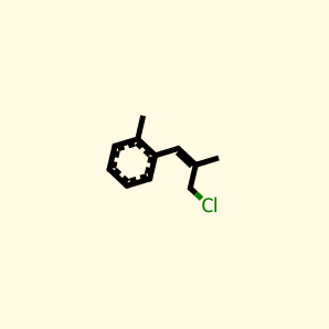 CC(=Cc1ccccc1C)CCl